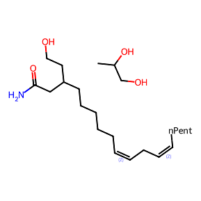 CC(O)CO.CCCCC/C=C\C/C=C\CCCCCC(CCO)CC(N)=O